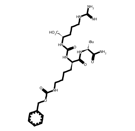 CC[C@@H](C)[C@H](NC(=O)[C@@H](CCCCNC(=O)OCc1ccccc1)NC(=O)N[C@@H](CCCNC(=N)N)C(=O)O)C(N)=O